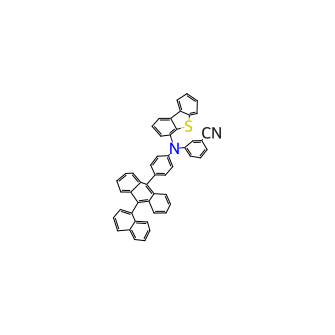 N#Cc1cccc(N(c2ccc(-c3c4ccccc4c(-c4cccc5ccccc45)c4ccccc34)cc2)c2cccc3c2sc2ccccc23)c1